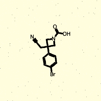 N#CCC1(c2ccc(Br)cc2)CN(C(=O)O)C1